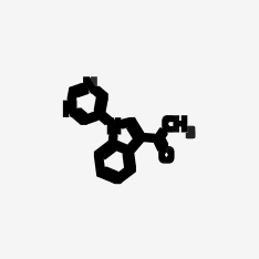 CC(=O)c1cn(-c2cncnc2)c2ccccc12